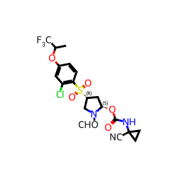 CC(Oc1ccc(S(=O)(=O)[C@@H]2C[C@H](OC(=O)NC3(C#N)CC3)N(C=O)C2)c(Cl)c1)C(F)(F)F